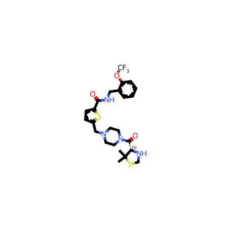 CC1(C)SCN[C@H]1C(=O)N1CCN(Cc2ccc(C(=O)NCc3ccccc3OC(F)(F)F)s2)CC1